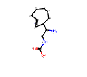 NC(CNC(=O)O)C1/C=C/CCCCC1